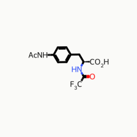 CC(=O)Nc1ccc(C[C@H](NC(=O)C(F)(F)F)C(=O)O)cc1